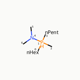 CCCCCC[PH](C)(CCCCC)N(C)C